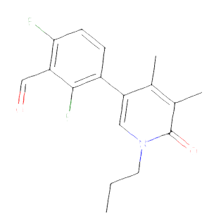 CCCn1cc(-c2ccc(F)c(C=O)c2F)c(C)c(C)c1=O